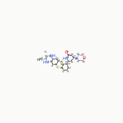 CCCC(Nc1ccc2c(c1)Sc1cccc(-c3cc(N4CCOCC4)cc(=O)[nH]3)c1S2)[C@H](C)N